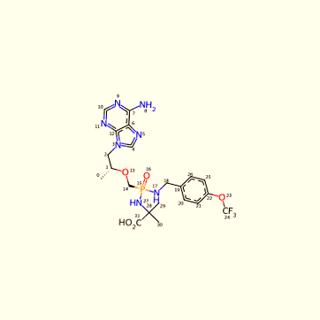 C[C@H](Cn1cnc2c(N)ncnc21)OC[P@@](=O)(NCc1ccc(OC(F)(F)F)cc1)NC(C)(C)C(=O)O